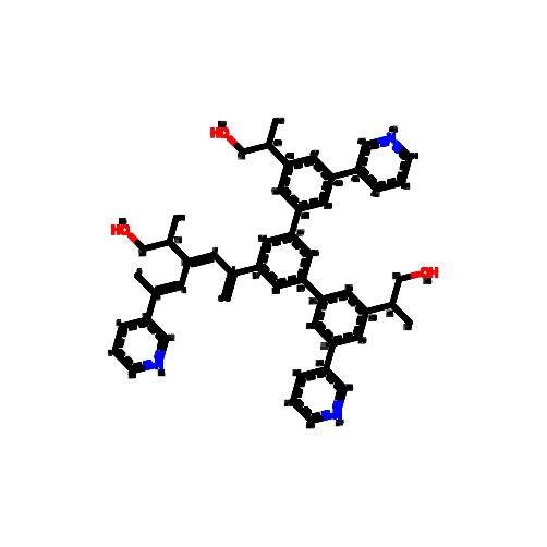 C=C(/C=C(\C=C(/C)c1cccnc1)C(C)CO)c1cc(-c2cc(-c3cccnc3)cc(C(C)CO)c2)cc(-c2cc(-c3cccnc3)cc(C(C)CO)c2)c1